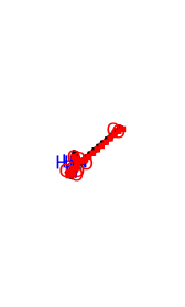 CC(C)(C)OC(=O)CCCCCCCCCCCCCCC(=O)NC[C@H](NC(=O)OC(C)(C)C)C(=O)ON1C(=O)CCC1=O